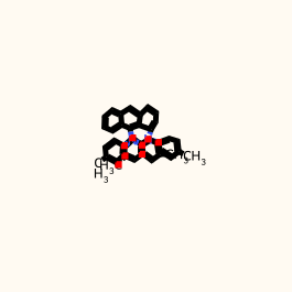 Cc1ccc(N(c2ccc(C)cc2)c2cccc3cc4ccccc4c(N(c4ccc(C)cc4)c4ccc(C)cc4)c23)cc1